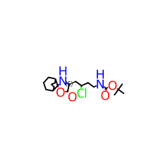 CC(C)(C)OC(=O)NCCC(Cl)C[C@@H]1NC2(OC1=O)C1CCCC2CCC1